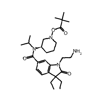 CCC1(CC)C(=O)N(CCN)c2cc(C(=O)N(C(C)C)[C@@H]3CCCN(OC(=O)C(C)(C)C)C3)ccc21